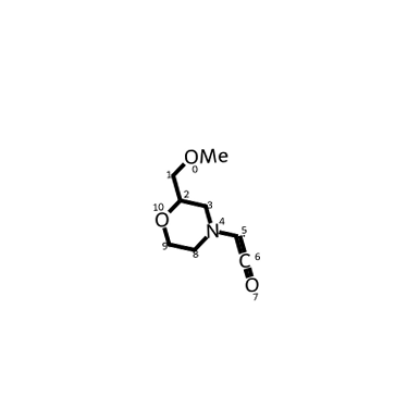 COCC1CN([C]=C=O)CCO1